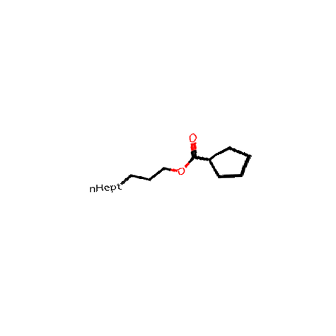 CCCCCCCCCCOC(=O)C1CCCC1